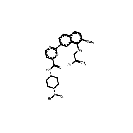 C=C(C#N)CNc1c(OC)ccc2ccc(-c3nccc(C(=O)N[C@H]4CC[C@@H](N(CC)CC)CC4)n3)cc12